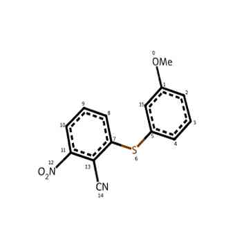 COc1cccc(Sc2cccc([N+](=O)[O-])c2C#N)c1